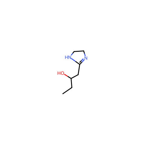 CCC(O)CC1=NCCN1